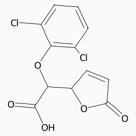 O=C1C=CC(C(Oc2c(Cl)cccc2Cl)C(=O)O)O1